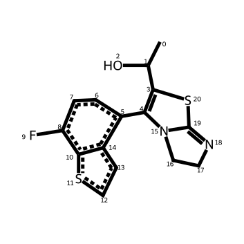 CC(O)C1=C(c2ccc(F)c3sccc23)N2CCN=C2S1